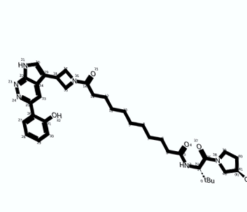 CC(C)(C)[C@H](NC(=O)CCCCCCCCCC(=O)N1CC(c2c[nH]c3nnc(-c4ccccc4O)cc23)C1)C(=O)N1CC[C@@H](O)C1